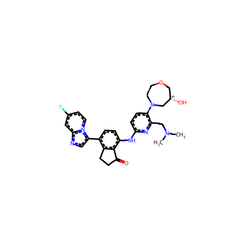 CN(C)Cc1nc(Nc2ccc(-c3cnc4cc(F)ccn34)c3c2C(=O)CC3)ccc1N1CCOC[C@H](O)C1